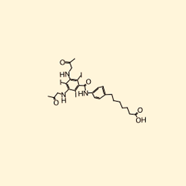 CC(=O)CNc1c(I)c(NCC(C)=O)c(I)c(C(=O)Nc2ccc(CCCCCCC(=O)O)cc2)c1I